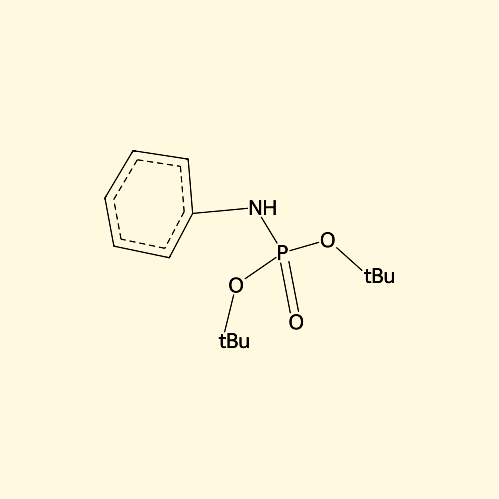 CC(C)(C)OP(=O)(Nc1ccccc1)OC(C)(C)C